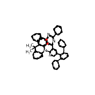 CC1(C)c2ccccc2N(c2ncc(-c3c(-c4ccccc4)cccc3-c3ccccc3)cc2-c2nc(-c3ccccc3)nc(-c3ccccc3)n2)c2ccccc21